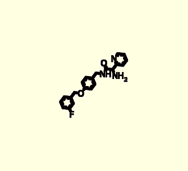 NC(C(=O)NCc1ccc(OCc2cccc(F)c2)cc1)c1ccccn1